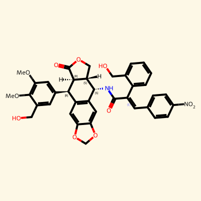 COc1cc([C@@H]2c3cc4c(cc3[C@@H](NC(=O)/C(=C/c3ccc([N+](=O)[O-])cc3)c3ccccc3CO)[C@H]3COC(=O)[C@H]23)OCO4)cc(CO)c1OC